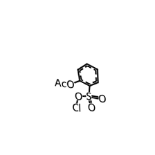 CC(=O)Oc1ccccc1S(=O)(=O)OCl